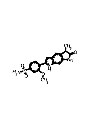 COc1cc(S(N)(=O)=O)ccc1-c1cc2cc3c(cc2[nH]1)NC(=O)C3C